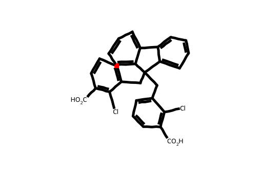 O=C(O)c1cccc(CC2(Cc3cccc(C(=O)O)c3Cl)c3ccccc3-c3ccccc32)c1Cl